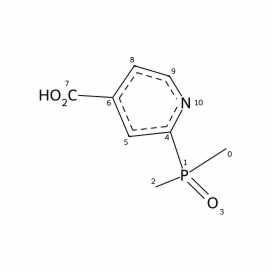 CP(C)(=O)c1cc(C(=O)O)ccn1